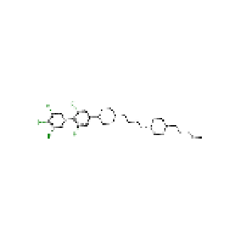 CCCCC[C@H]1CC[C@H](CCCC[C@H]2CC[C@H](c3cc(F)c(-c4cc(F)c(F)c(F)c4)c(F)c3)CC2)CC1